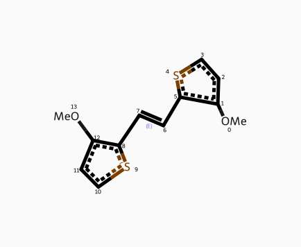 COc1ccsc1/C=C/c1sccc1OC